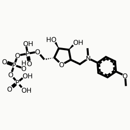 COc1ccc(N(C)CC2O[C@H](COP(=O)(O)OP(=O)(O)OP(=O)(O)O)[C@@H](O)[C@H]2O)cc1